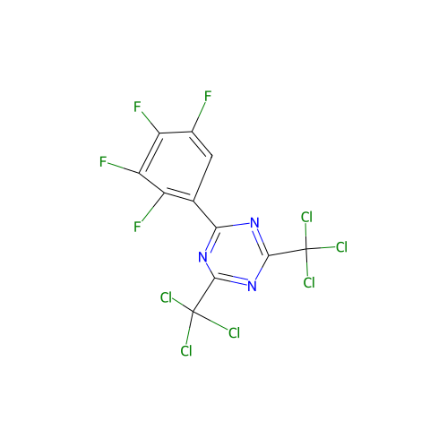 Fc1cc(-c2nc(C(Cl)(Cl)Cl)nc(C(Cl)(Cl)Cl)n2)c(F)c(F)c1F